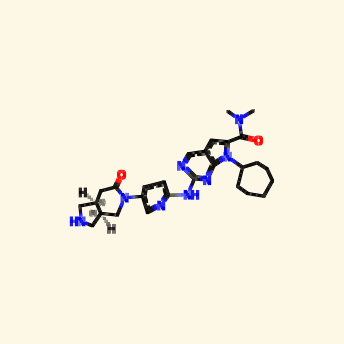 CN(C)C(=O)c1cc2cnc(Nc3ccc(N4C[C@H]5CNC[C@H]5CC4=O)cn3)nc2n1C1CCCCCC1